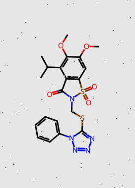 COc1cc2c(c(C(C)C)c1OC)C(=O)N(CSc1nnnn1-c1ccccc1)S2(=O)=O